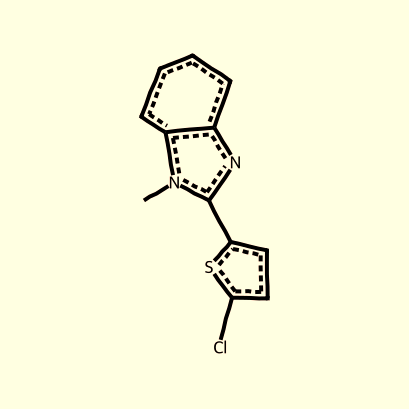 Cn1c(-c2ccc(Cl)s2)nc2ccccc21